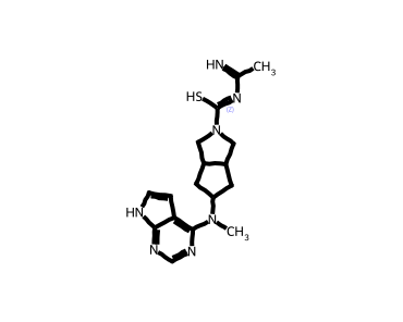 CC(=N)/N=C(\S)N1CC2CC(N(C)c3ncnc4[nH]ccc34)CC2C1